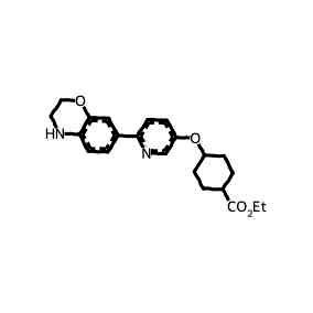 CCOC(=O)C1CCC(Oc2ccc(-c3ccc4c(c3)OCCN4)nc2)CC1